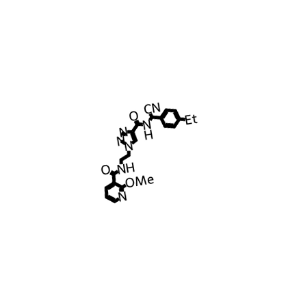 CCc1ccc(C(C#N)NC(=O)c2cn(CCNC(=O)c3cccnc3OC)nn2)cc1